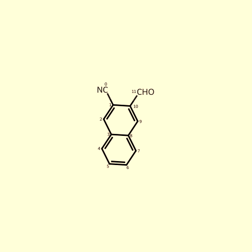 N#Cc1cc2ccccc2cc1C=O